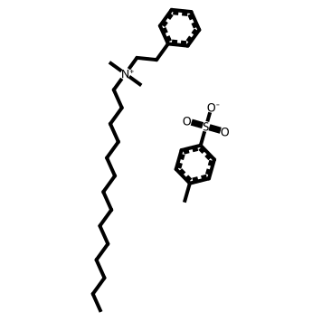 CCCCCCCCCCCCCC[N+](C)(C)CCc1ccccc1.Cc1ccc(S(=O)(=O)[O-])cc1